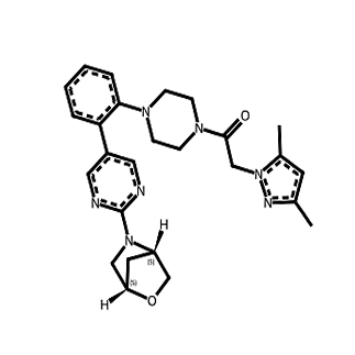 Cc1cc(C)n(CC(=O)N2CCN(c3ccccc3-c3cnc(N4C[C@@H]5C[C@H]4CO5)nc3)CC2)n1